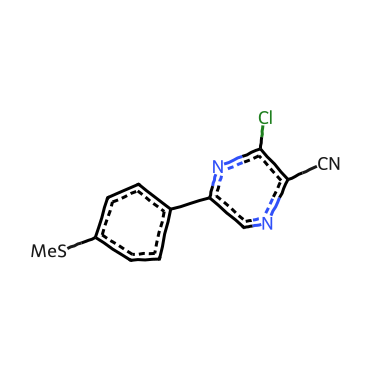 CSc1ccc(-c2cnc(C#N)c(Cl)n2)cc1